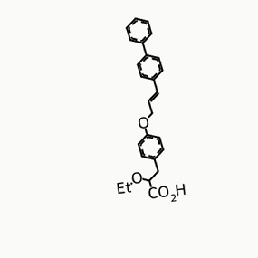 CCOC(Cc1ccc(OC/C=C/c2ccc(-c3ccccc3)cc2)cc1)C(=O)O